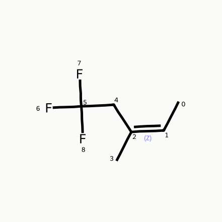 C/C=C(/C)CC(F)(F)F